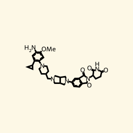 COc1cc(N2CCC(CN3CC4CN(c5ccc6c(c5)C(=O)N(C5CCC(=O)NC5=O)C6=O)CC4C3)CC2)c(C2CC2)cc1N